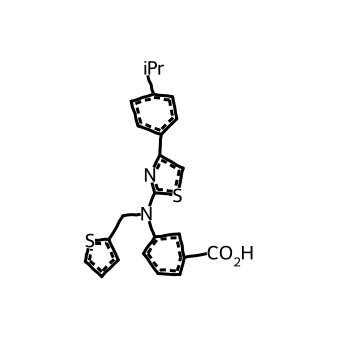 CC(C)c1ccc(-c2csc(N(Cc3cccs3)c3cccc(C(=O)O)c3)n2)cc1